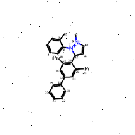 Cc1ccccc1[N+]1=[N+](C)C=CC1c1c(C(C)C)cc(-c2ccccc2)cc1C(C)C